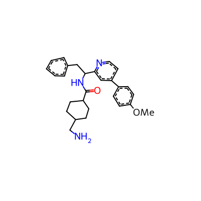 COc1ccc(-c2ccnc(C(Cc3ccccc3)NC(=O)C3CCC(CN)CC3)c2)cc1